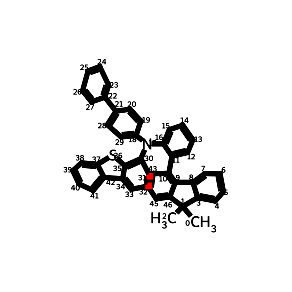 CC1(C)c2ccccc2-c2c(-c3ccccc3N(c3ccc(-c4ccccc4)cc3)c3cccc4c3sc3ccccc34)cccc21